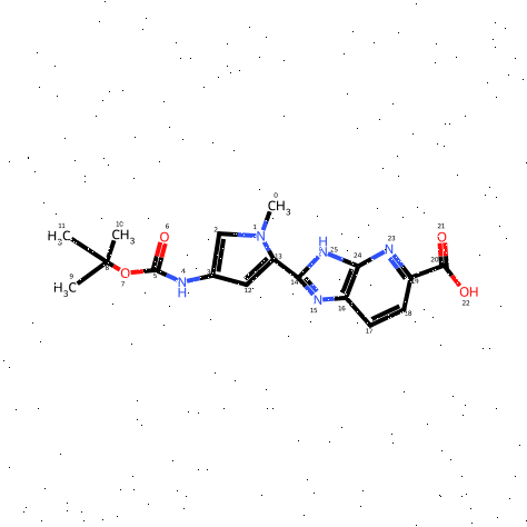 Cn1cc(NC(=O)OC(C)(C)C)cc1-c1nc2ccc(C(=O)O)nc2[nH]1